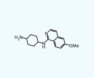 COc1ccc2c(NC3CCC(N)CC3)nccc2c1